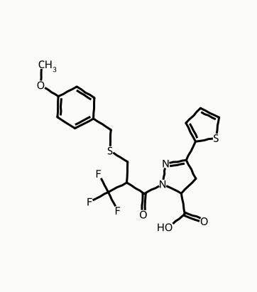 COc1ccc(CSCC(C(=O)N2N=C(c3cccs3)CC2C(=O)O)C(F)(F)F)cc1